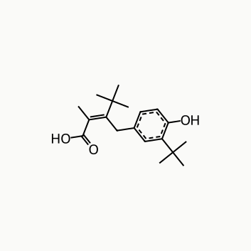 CC(C(=O)O)=C(Cc1ccc(O)c(C(C)(C)C)c1)C(C)(C)C